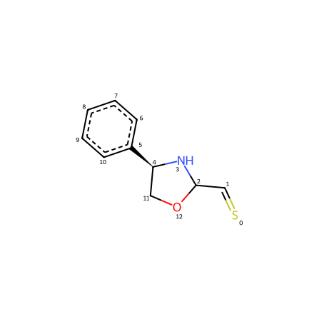 S=CC1N[C@H](c2ccccc2)CO1